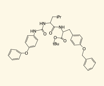 CC(C)CC(NC(=O)Nc1ccc(Oc2ccccc2)cc1)C(=O)NC(Cc1ccc(OCc2ccccc2)cc1)C(=O)OC(C)(C)C